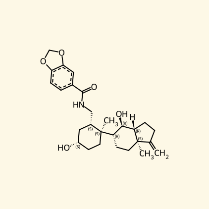 C=C1CC[C@H]2[C@H](O)[C@@H]([C@@]3(C)CC[C@H](O)C[C@@H]3CNC(=O)c3ccc4c(c3)OCO4)CC[C@]12C